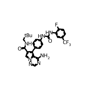 CC(C)(C)CNC(=O)c1cn2ncnc(N)c2c1-c1ccc(NC(=O)Nc2cc(C(F)(F)F)ccc2F)cc1